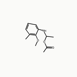 COc1c(C)cccc1NC(C)OC(C)=O